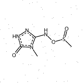 Cn1c(NOS(C)=O)n[nH]c1=O